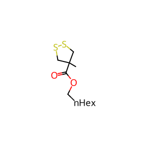 CCCCCCCOC(=O)C1(C)CSSC1